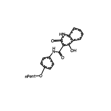 CCCCCOc1ccc(NC(=O)c2c(O)c3ccccc3[nH]c2=O)cc1